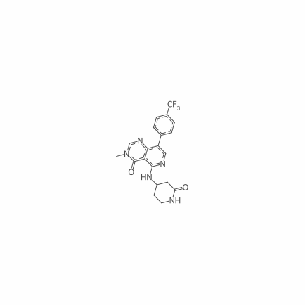 Cn1cnc2c(-c3ccc(C(F)(F)F)cc3)cnc(NC3CCNC(=O)C3)c2c1=O